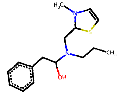 CCCN(CC1SC=CN1C)C(O)Cc1ccccc1